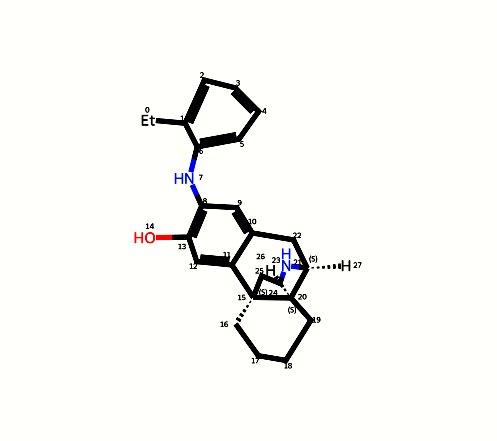 CCc1ccccc1Nc1cc2c(cc1O)[C@]13CCCC[C@@H]1[C@H](C2)NCC3